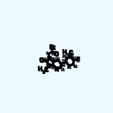 CCC(=O)Cn1c(=O)n(C)c2ncc(-c3ccc(F)c(C)c3)cc21